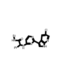 CCNC(=O)C(Nc1ccnc(-c2c[nH]c3ncc(Cl)cc23)n1)C(C)C